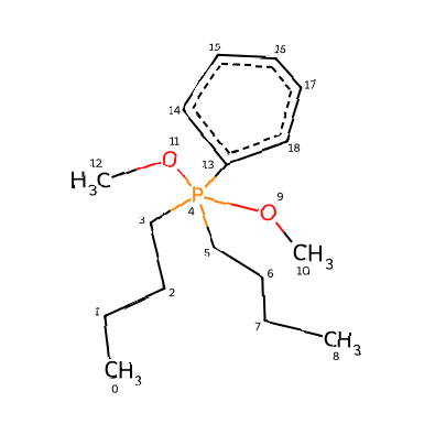 CCCCP(CCCC)(OC)(OC)c1ccccc1